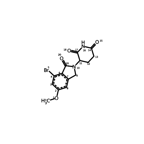 COc1cc(Br)c2c(c1)CN(C1CCC(=O)NC1=O)C2=O